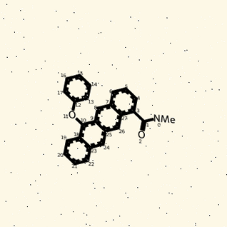 CNC(=O)c1cccc2cc3c(Oc4ccccc4)c4ccccc4cc3cc12